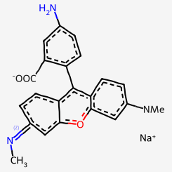 C/N=c1/ccc2c(-c3ccc(N)cc3C(=O)[O-])c3ccc(NC)cc3oc-2c1.[Na+]